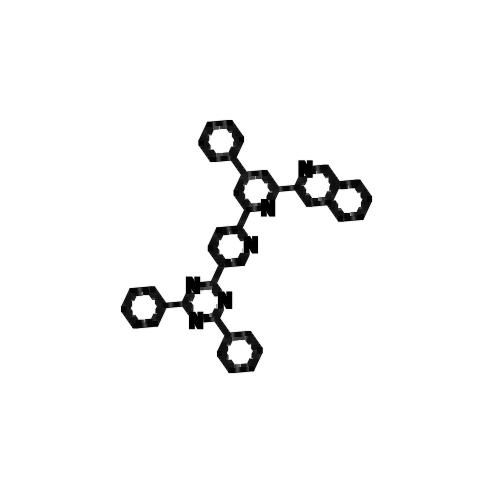 c1ccc(-c2cc(-c3ccc(-c4nc(-c5ccccc5)nc(-c5ccccc5)n4)cn3)nc(-c3cc4ccccc4cn3)c2)cc1